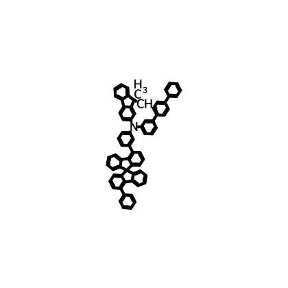 CC1(C)c2ccccc2-c2ccc(N(c3cccc(-c4ccc(-c5ccccc5)cc4)c3)c3cccc(-c4cccc5c4-c4ccccc4C54c5ccccc5-c5c(-c6ccccc6)cccc54)c3)cc21